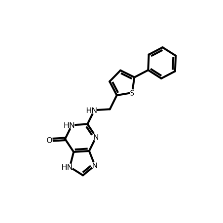 O=c1[nH]c(NCc2ccc(-c3ccccc3)s2)nc2nc[nH]c12